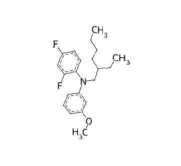 CCCCC(CC)CN(c1cccc(OC)c1)c1ccc(F)cc1F